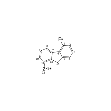 Fc1cccc2c1-c1ccc[c]([Zr+3])c1C2